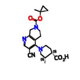 C[C@@H]1CN(c2c(C#N)cnc3c2CCN(C(=O)OC2(C)CC2)C3)CC[C@@H]1C(=O)O